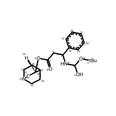 CC(C)(C)OC(O)NC(CC(=O)O[C@H]1CN2CCC1CC2)c1ccccc1